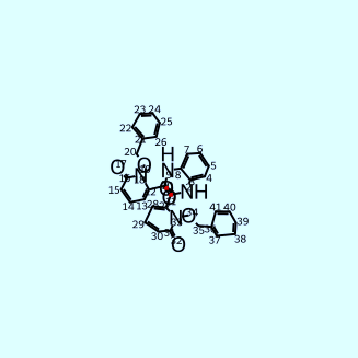 O=C(Nc1ccccc1NC(=O)c1cccc(=O)n1OCc1ccccc1)c1cccc(=O)n1OCc1ccccc1